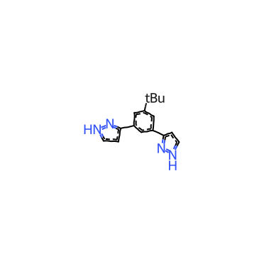 CC(C)(C)c1cc(-c2cc[nH]n2)cc(-c2cc[nH]n2)c1